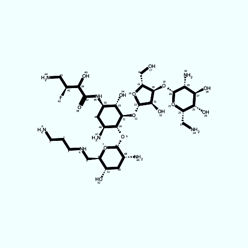 NCCCNC[C@H]1O[C@H](O[C@H]2[C@H](O[C@@H]3O[C@H](CO)[C@@H](O[C@H]4O[C@@H](CN)[C@@H](O)[C@H](O)[C@H]4N)[C@H]3O)[C@@H](O)[C@H](NC(=O)C(O)[C@@H](F)CN)C[C@@H]2N)[C@H](N)C[C@@H]1O